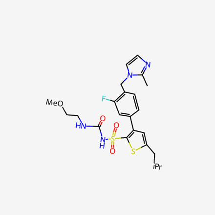 COCCNC(=O)NS(=O)(=O)c1sc(CC(C)C)cc1-c1ccc(Cn2ccnc2C)c(F)c1